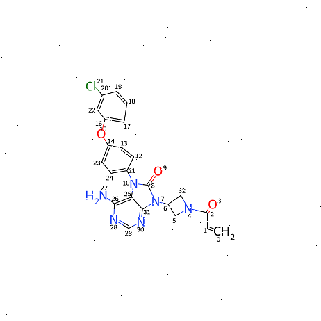 C=CC(=O)N1CC(n2c(=O)n(-c3ccc(Oc4cccc(Cl)c4)cc3)c3c(N)ncnc32)C1